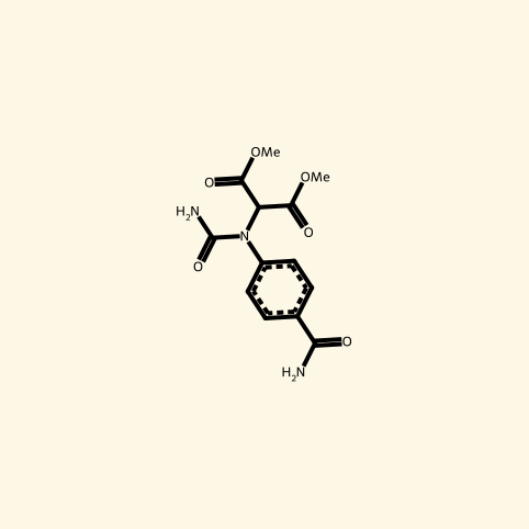 COC(=O)C(C(=O)OC)N(C(N)=O)c1ccc(C(N)=O)cc1